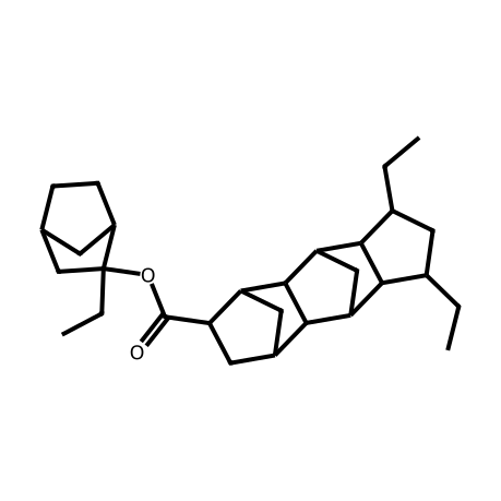 CCC1CC(CC)C2C3CC(C12)C1C2CC(C(=O)OC4(CC)CC5CCC4C5)C(C2)C31